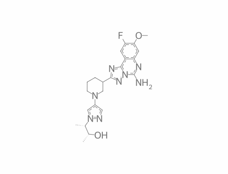 COc1cc2nc(N)n3nc(C4CCCN(c5cnn([C@@H](C)[C@@H](C)O)c5)C4)nc3c2cc1F